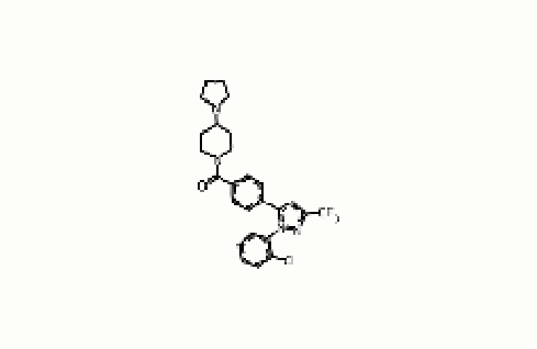 O=C(c1ccc(-c2cc(C(F)(F)F)nn2-c2ccccc2Cl)cc1)N1CCC(N2CCCC2)CC1